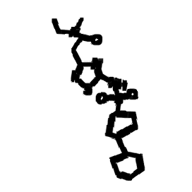 CCN(C)C(=O)Cc1nsc(NS(=O)(=O)c2ccc(-c3ccccc3)cc2)n1